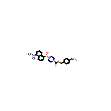 CN(C)c1cccc2c([S+]([O-])N3CCN(C(=S)SCc4ccc([N+](=O)[O-])cc4)CC3)cccc12